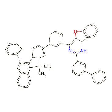 CC1(C)c2c(c(-c3ccccc3)cc3ccccc23)C2C=CC(C3C=C(C4=C5Oc6ccccc6C5NC(c5cccc(-c6ccccc6)c5)=N4)C=CC3)=CC21